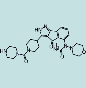 NC(=O)N(c1cccc2c1C(=O)c1c-2n[nH]c1C1CCN(C(=O)N2CCNCC2)CC1)N1CCOCC1